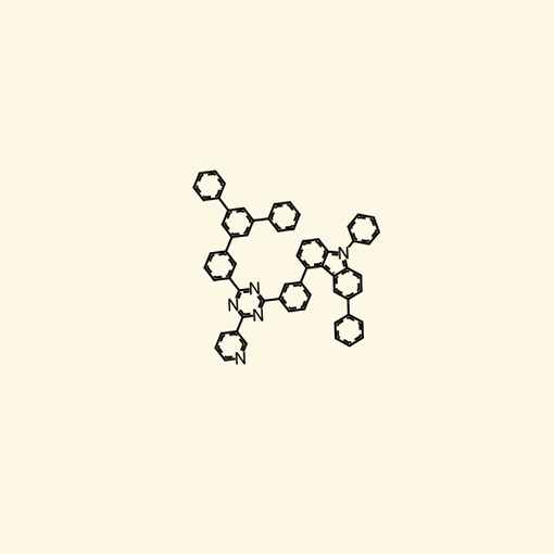 c1ccc(-c2cc(-c3ccccc3)cc(-c3cccc(-c4nc(-c5cccnc5)nc(-c5cccc(-c6cccc7c6c6cc(-c8ccccc8)ccc6n7-c6ccccc6)c5)n4)c3)c2)cc1